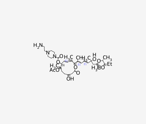 CC[C@H](O)C(C)O[C@@H](C)CC(C)(O)/C=C/C=C(\C)[C@H]1OC(=O)C[C@H](O)CC[C@@](C)(OC(C)=O)[C@@H](OC(=O)N2CCN(CCN)CC2)/C=C/[C@@H]1C